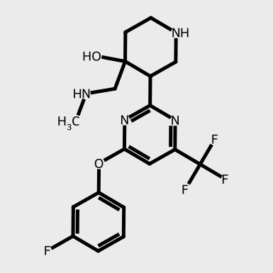 CNCC1(O)CCNCC1c1nc(Oc2cccc(F)c2)cc(C(F)(F)F)n1